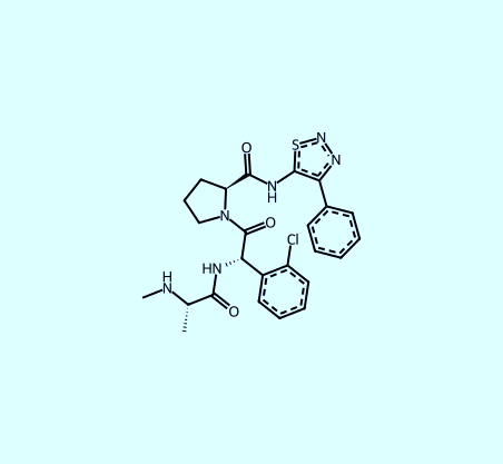 CN[C@@H](C)C(=O)N[C@H](C(=O)N1CCC[C@H]1C(=O)Nc1snnc1-c1ccccc1)c1ccccc1Cl